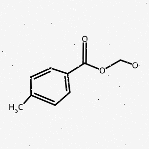 Cc1ccc(C(=O)OC[O])cc1